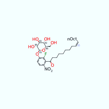 CCCCCCCC/C=C\CCCCCCCC(=O)c1c([N+](=O)[O-])ccc(O[C@@H]2O[C@H](CO)[C@@H](O)[C@H](O)[C@H]2O)c1F